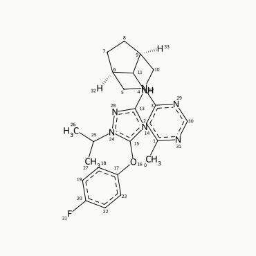 Cc1cc(N2C[C@H]3CC[C@@H](C2)C3Nc2nc(Oc3ccc(F)cc3)n(C(C)C)n2)ncn1